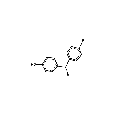 CC[C](c1ccc(O)cc1)c1ccc(F)cc1